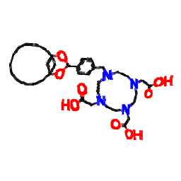 O=C(O)CN1CCN(CC(=O)O)CCN(Cc2ccc(C3OC45CCCCCCCCCCCC(C4)(C5)O3)cc2)CCN(CC(=O)O)CC1